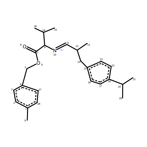 Cc1ccc(COC(=O)C(/N=C/C(C)Cc2ccc(C(C)C)cc2)C(C)C)cc1